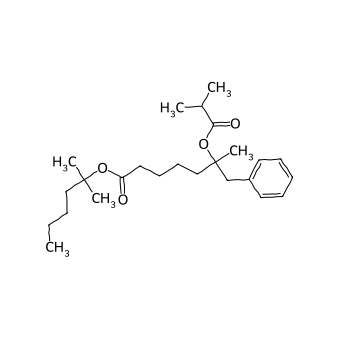 CCCCC(C)(C)OC(=O)CCCCC(C)(Cc1ccccc1)OC(=O)C(C)C